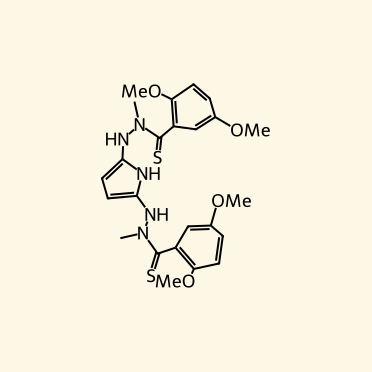 COc1ccc(OC)c(C(=S)N(C)Nc2ccc(NN(C)C(=S)c3cc(OC)ccc3OC)[nH]2)c1